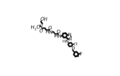 CN(CCO)C(=O)C=CC(=O)NCCC(=O)Nc1ccc2ncnc(Nc3ccc(OCc4cccc(F)c4)c(Cl)c3)c2c1